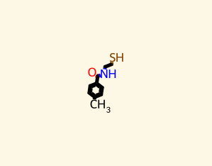 Cc1ccc(C(=O)NCCS)cc1